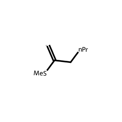 [CH]=C(CCCC)SC